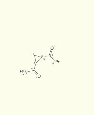 CC(C)C(=O)[C@H]1CC1C(N)=O